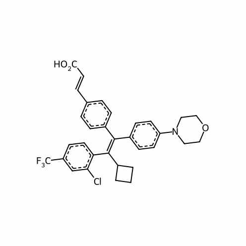 O=C(O)C=Cc1ccc(C(=C(c2ccc(C(F)(F)F)cc2Cl)C2CCC2)c2ccc(N3CCOCC3)cc2)cc1